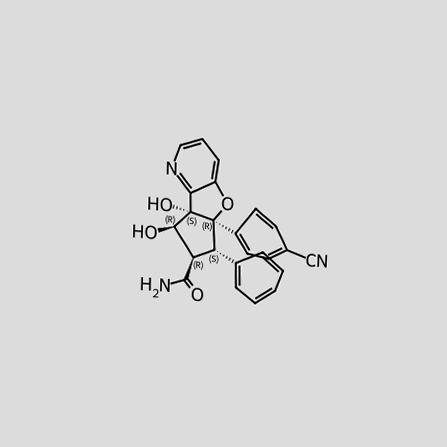 N#Cc1ccc([C@@]23Oc4cccnc4[C@]2(O)[C@H](O)[C@H](C(N)=O)[C@H]3c2ccccc2)cc1